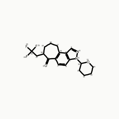 O=C1c2ccc3c(cnn3C3CCCCO3)c2CCCC1CC(F)(F)F